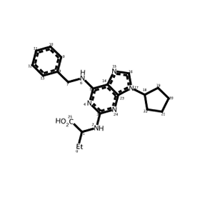 CCC(Nc1nc(NCc2ccccc2)c2ncn(C3CCCC3)c2n1)C(=O)O